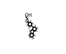 OCCOc1ccc(-c2cccc3c2[CH]c2ccccc2-3)cc1